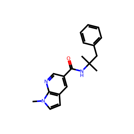 Cn1ccc2cc(C(=O)NC(C)(C)Cc3ccccc3)cnc21